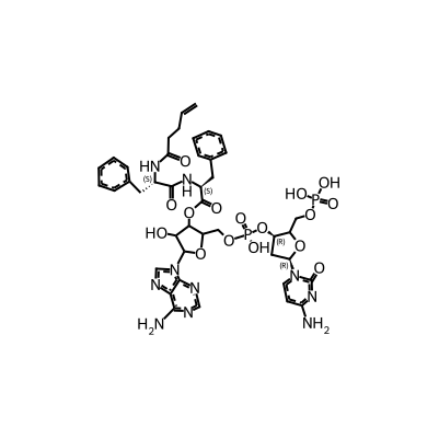 C=CCCC(=O)N[C@@H](Cc1ccccc1)C(=O)N[C@@H](Cc1ccccc1)C(=O)OC1C(COP(=O)(O)O[C@@H]2C[C@H](n3ccc(N)nc3=O)OC2COP(=O)(O)O)OC(n2cnc3c(N)ncnc32)C1O